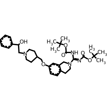 CC(C)(C)OC(=O)/N=C(\NC(=O)OC(C)(C)C)N1CCc2ccc(OCC3CCN(CC(O)c4ccccc4)CC3)cc2C1